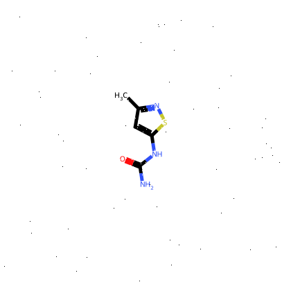 Cc1cc(NC(N)=O)sn1